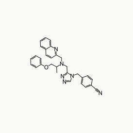 CC(COc1ccccc1)N(Cc1ccc2ccccc2n1)Cc1nncn1Cc1ccc(C#N)cc1